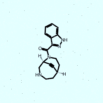 O=C(c1n[nH]c2ccccc12)N1CC[C@@H]2C#C[C@H]1CNCC2